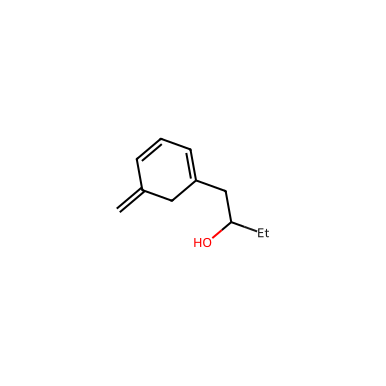 C=C1C=CC=C(CC(O)CC)C1